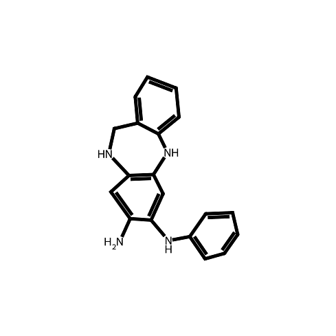 Nc1cc2c(cc1Nc1ccccc1)Nc1ccccc1CN2